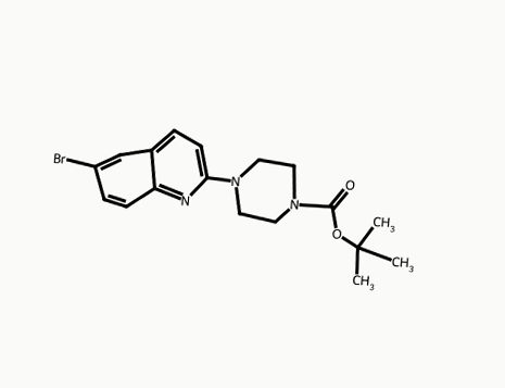 CC(C)(C)OC(=O)N1CCN(c2ccc3cc(Br)ccc3n2)CC1